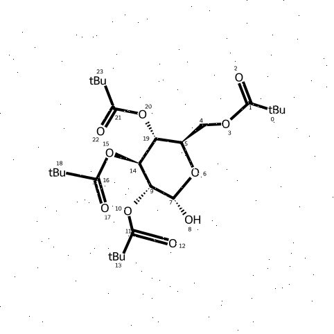 CC(C)(C)C(=O)OC[C@H]1O[C@H](O)[C@H](OC(=O)C(C)(C)C)[C@@H](OC(=O)C(C)(C)C)[C@@H]1OC(=O)C(C)(C)C